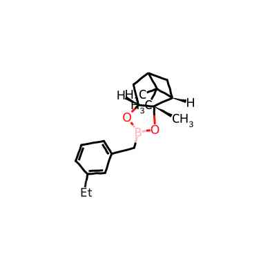 CCc1cccc(CB2O[C@@H]3CC4C[C@@H](C4(C)C)[C@]3(C)O2)c1